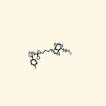 Cc1ccc([C@@H](C)NC(=O)OCCCCn2cnc3c(N)ncnc32)cc1